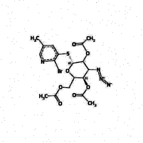 CC(=O)OCC1O[C@H](Sc2cc(C)cnc2Br)C(OC(C)=O)C(N=[N+]=[N-])[C@H]1OC(C)=O